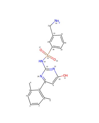 Cc1cccc(C)c1-c1cc(O)nc(NS(=O)(=O)c2cccc(CN)c2)n1